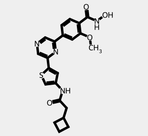 COc1cc(-c2cncc(-c3cc(NC(=O)CC4CCC4)cs3)n2)ccc1C(=O)NO